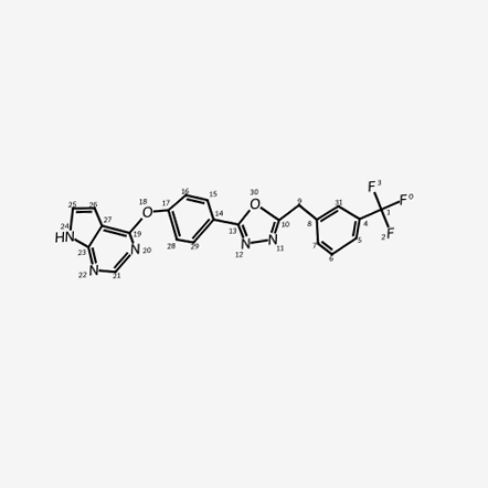 FC(F)(F)c1cccc(Cc2nnc(-c3ccc(Oc4ncnc5[nH]ccc45)cc3)o2)c1